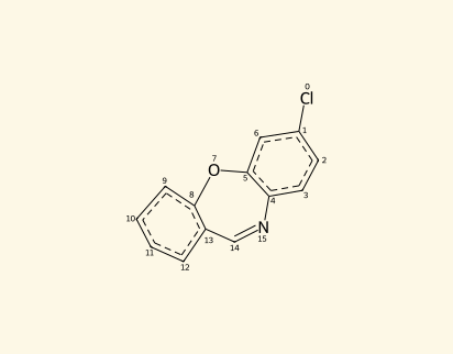 Clc1ccc2c(c1)Oc1ccccc1C=N2